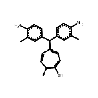 Cc1cc(C(C2=CC=C(O)C(C)C=C2)c2ccc(N)c(C)c2)ccc1N